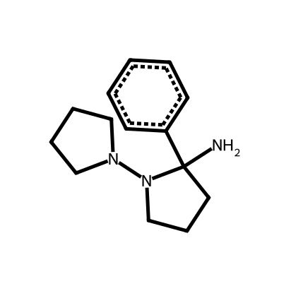 NC1(c2ccccc2)CCCN1N1CCCC1